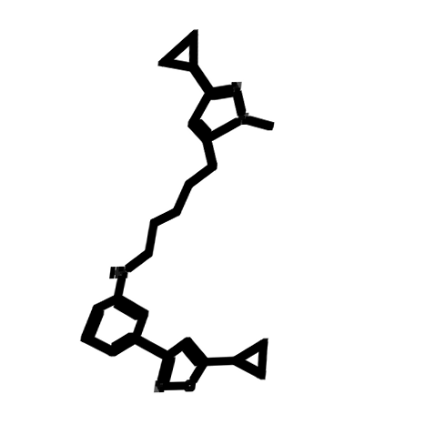 Cn1nc(C2CC2)cc1CCCCCNc1cccc(-c2cc(C3CC3)on2)c1